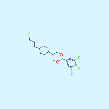 FCCCC1CCC(C2COC(c3cc(F)c(F)c(F)c3)OC2)CC1